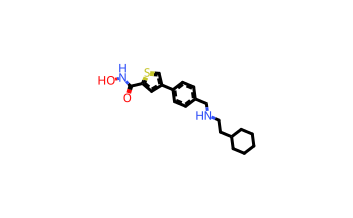 O=C(NO)c1cc(-c2ccc(CNCCC3CCCCC3)cc2)cs1